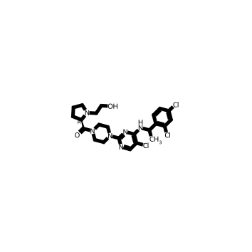 CC(Nc1nc(N2CCN(C(=O)[C@H]3CCCN3CCO)CC2)ncc1Cl)c1ccc(Cl)cc1Cl